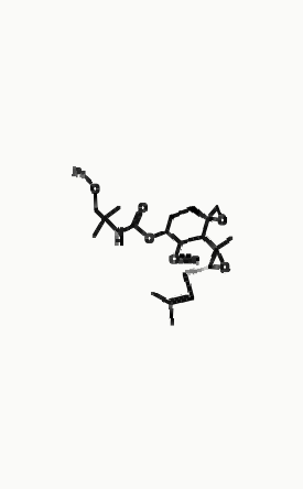 COC1C(OC(=O)NC(C)(C)COC(C)C)CC[C@]2(CO2)C1C1(C)O[C@@H]1CC=C(C)C